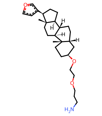 C[C@]12CC[C@H](OCCOCCCN)C[C@H]1CC[C@@H]1[C@@H]2CC[C@]2(C)[C@@H](c3ccoc3)CC[C@@H]12